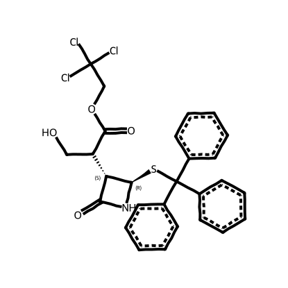 O=C(OCC(Cl)(Cl)Cl)C(CO)[C@H]1C(=O)N[C@@H]1SC(c1ccccc1)(c1ccccc1)c1ccccc1